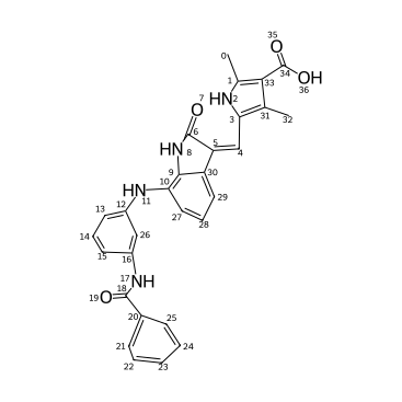 Cc1[nH]c(C=C2C(=O)Nc3c(Nc4cccc(NC(=O)c5ccccc5)c4)cccc32)c(C)c1C(=O)O